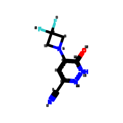 N#Cc1cc(N2CC(F)(F)C2)c(=O)[nH]n1